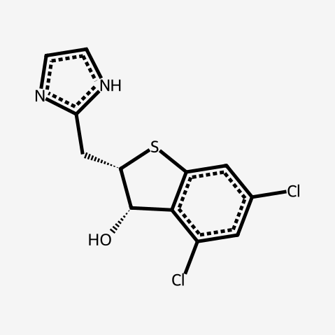 O[C@H]1c2c(Cl)cc(Cl)cc2S[C@H]1Cc1ncc[nH]1